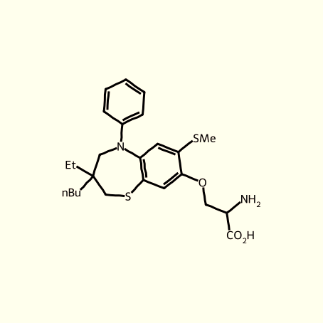 CCCCC1(CC)CSc2cc(OCC(N)C(=O)O)c(SC)cc2N(c2ccccc2)C1